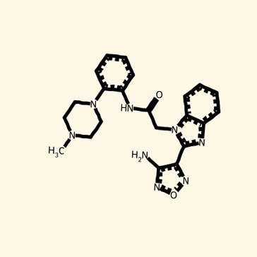 CN1CCN(c2ccccc2NC(=O)Cn2c(-c3nonc3N)nc3ccccc32)CC1